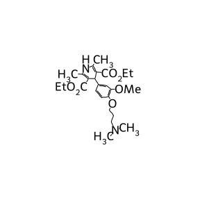 CCOC(=O)C1=C(C)NC(C)=C(C(=O)OCC)C1c1ccc(OCCCN(C)C)c(OC)c1